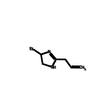 C=CCC1=NC(CC)CN1